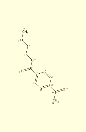 COCCOC(=O)c1ccc(C(C)=O)cc1